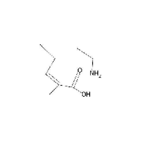 CCC=C(C)C(=O)O.CCN